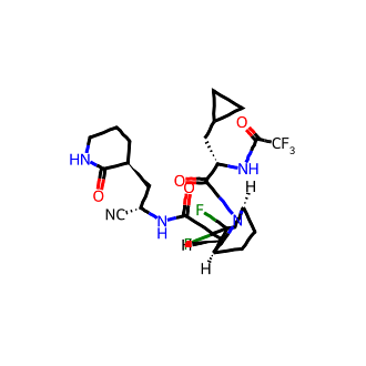 N#C[C@H](C[C@@H]1CCCNC1=O)NC(=O)[C@H]1[C@@H]2CC[C@@H](CC2(F)F)N1C(=O)[C@H](CC1CC1)NC(=O)C(F)(F)F